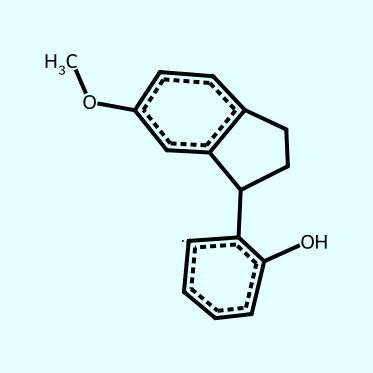 COc1ccc2c(c1)C(c1[c]cccc1O)CC2